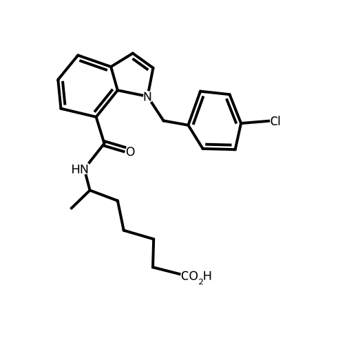 CC(CCCCC(=O)O)NC(=O)c1cccc2ccn(Cc3ccc(Cl)cc3)c12